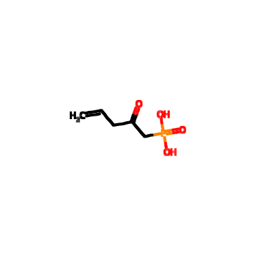 C=CCC(=O)CP(=O)(O)O